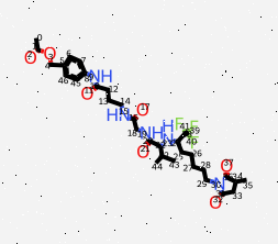 CC(=O)OCc1ccc(NC(=O)CCCNC(=O)CNC(=O)C(NC(CCCCCN2C(=O)CC(C)C2=O)C(F)(F)F)C(C)C)cc1